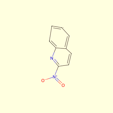 O=[N+]([O-])c1ccc2c[c]ccc2n1